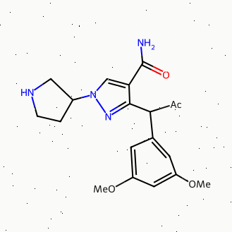 COc1cc(OC)cc(C(C(C)=O)c2nn(C3CCNC3)cc2C(N)=O)c1